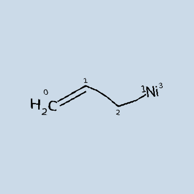 C=C[CH2][1Ni]